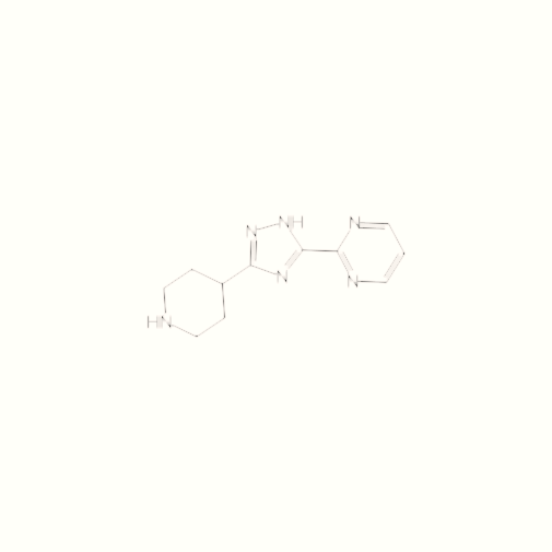 c1cnc(-c2nc(C3CCNCC3)n[nH]2)nc1